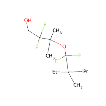 CCC(C)(C(C)C)C(F)(F)OC(C)(C)C(F)(F)CO